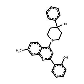 Cc1ccc2c(N3CCC(O)(c4ccccc4)CC3)nc(-c3ccccc3O)nc2c1